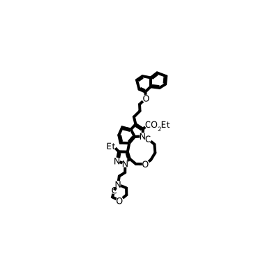 CCOC(=O)c1c(CCCOc2cccc3ccccc23)c2cccc3c2n1CCCCOCc1c-3c(CC)nn1CCN1CCOCC1